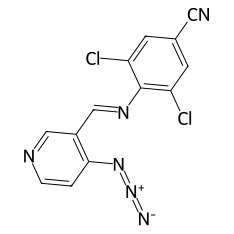 N#Cc1cc(Cl)c(/N=C/c2cnccc2N=[N+]=[N-])c(Cl)c1